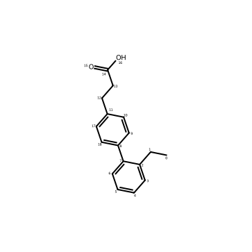 CCc1ccccc1-c1ccc(CCC(=O)O)cc1